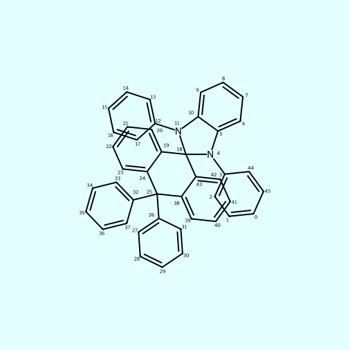 c1ccc(N2c3ccccc3N(c3ccccc3)C23c2ccccc2C(c2ccccc2)(c2ccccc2)c2ccccc23)cc1